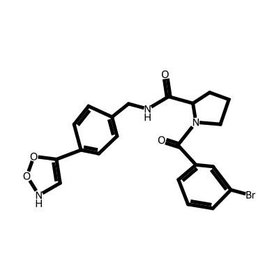 O=C(NCc1ccc(C2=CNOO2)cc1)C1CCCN1C(=O)c1cccc(Br)c1